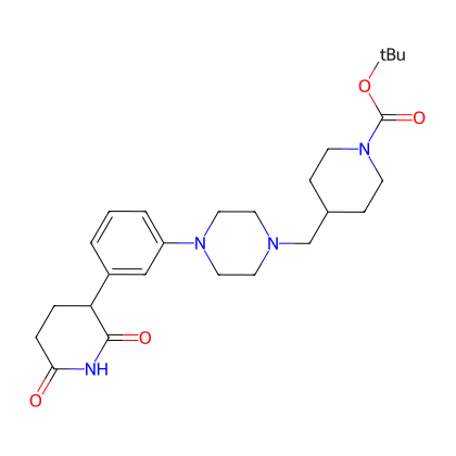 CC(C)(C)OC(=O)N1CCC(CN2CCN(c3cccc(C4CCC(=O)NC4=O)c3)CC2)CC1